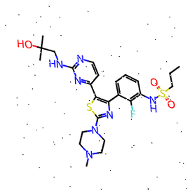 CCCS(=O)(=O)Nc1cccc(-c2nc(N3CCN(C)CC3)sc2-c2ccnc(NCC(C)(C)O)n2)c1F